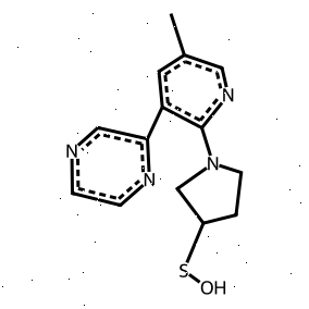 Cc1cnc(N2CCC(SO)C2)c(-c2cnccn2)c1